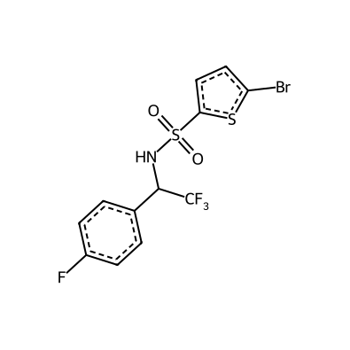 O=S(=O)(NC(c1ccc(F)cc1)C(F)(F)F)c1ccc(Br)s1